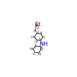 CCOC[C@H]1CC[C@H](NC2CCCCC2)CC1